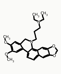 CCN(CC)CCCN1Cc2cc(OC)c(OC)cc2-c2ccc3cc4c(cc3c21)OCO4